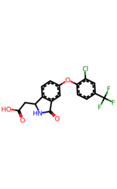 O=C(O)CC1NC(=O)c2cc(Oc3ccc(C(F)(F)F)cc3Cl)ccc21